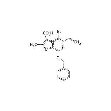 C=Cc1cc(OCc2ccccc2)c2nc(C)c(C(=O)O)n2c1CC